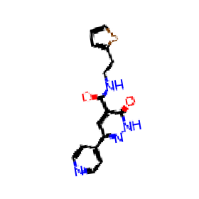 O=C(NCCc1cccs1)c1cc(-c2ccncc2)n[nH]c1=O